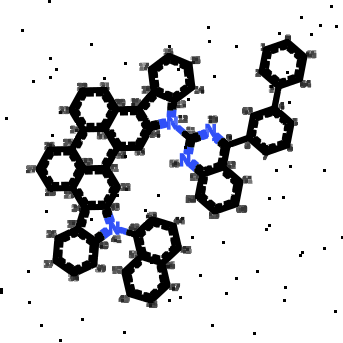 c1ccc(-c2cccc(-c3nc(-n4c5ccccc5c5c6cccc7c8cccc9c8c(cc8c9c9ccccc9n8-c8cccc9ccccc89)c(cc54)c76)nc4ccccc34)c2)cc1